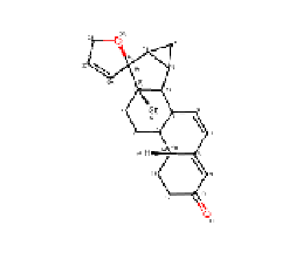 CC[C@]12CCC3C(C=CC4=CC(=O)CC[C@@H]43)C1C1CC1[C@@]21C=CCO1